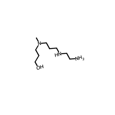 CN(CCCO)CCCNCCN